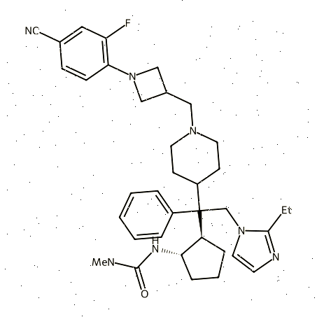 CCc1nccn1CC(c1ccccc1)(C1CCN(CC2CN(c3ccc(C#N)cc3F)C2)CC1)[C@H]1CCC[C@@H]1NC(=O)NC